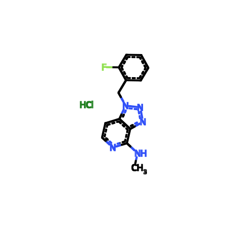 CNc1nccc2c1nnn2Cc1ccccc1F.Cl